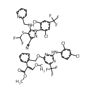 CO/C=C(/C(=O)OC)c1ccccc1COc1cc(C(F)(F)F)nc(Nc2ccc(Cl)cc2Cl)n1.N#Cc1nn(-c2c(Cl)cc(C(F)(F)F)cc2Cl)c(NCc2ccccn2)c1SC(F)F